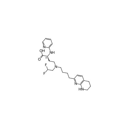 O=C(O)[C@H](CCN(CCCCc1ccc2c(n1)NCCC2)CC(F)F)Nc1ccccn1